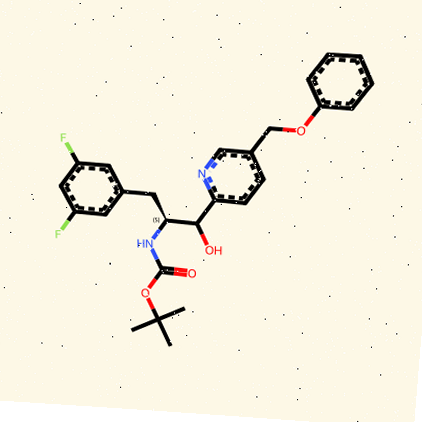 CC(C)(C)OC(=O)N[C@@H](Cc1cc(F)cc(F)c1)C(O)c1ccc(COc2ccccc2)cn1